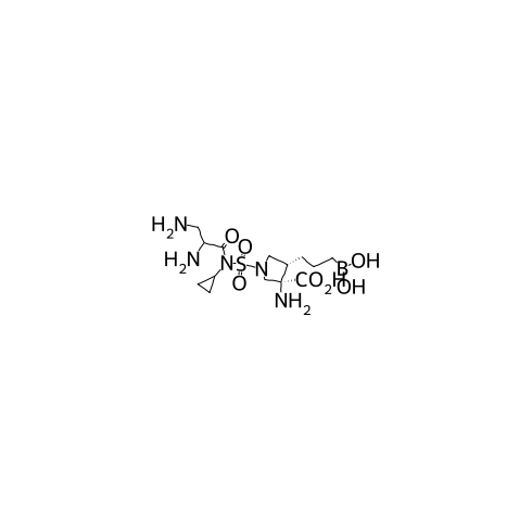 NCC(N)C(=O)N(C1CC1)S(=O)(=O)N1C[C@H](CCCB(O)O)[C@](N)(C(=O)O)C1